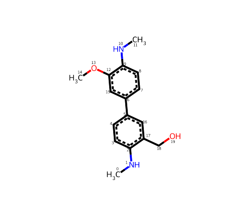 CNc1ccc(-c2ccc(NC)c(OC)c2)cc1CO